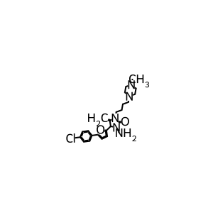 C=C1C(c2ccc(-c3ccc(Cl)cc3)o2)N(N)C(=O)N1CCCCN1CCN(C)CC1